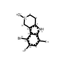 [O-][S+]1CCc2[nH]c3c(I)cc(F)c(Br)c3c2C1